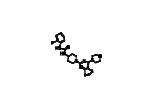 O=C(Nc1ccccc1F)NC1CCN(c2nc(N3CCOCC3)c3sccc3n2)CC1